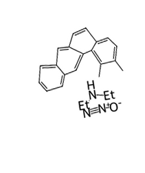 CCNCC.Cc1ccc2ccc3cc4ccccc4cc3c2c1C.N#[N+][O-]